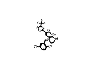 FC(F)(F)c1noc(C2=CC3=C(NCCN3Cc3cc(Cl)ccc3Cl)NN2)n1